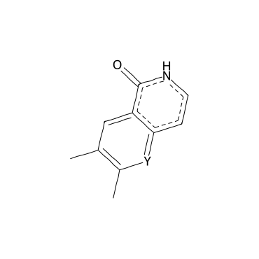 CC1=[C](C)[Y]=[c]2cc[nH]c(=O)c2=C1